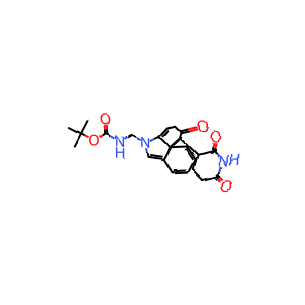 CC(C)(C)OC(=O)NCN1C=C2C=CC=CC23C1=CCC(=O)C3C1CCC(=O)NC1=O